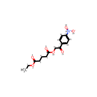 CCOC(=O)CCCC(=O)OCC(=O)c1ccc([N+](=O)[O-])cc1